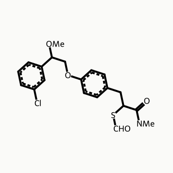 CNC(=O)C(Cc1ccc(OCC(OC)c2cccc(Cl)c2)cc1)SC=O